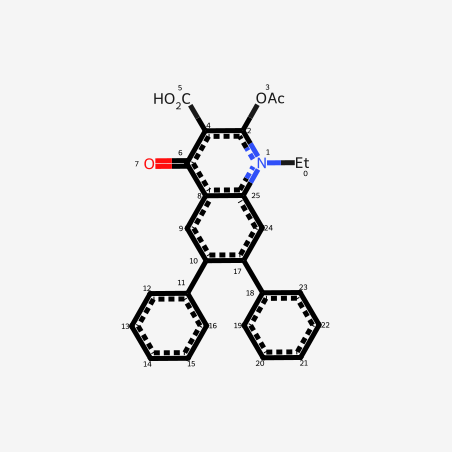 CCn1c(OC(C)=O)c(C(=O)O)c(=O)c2cc(-c3ccccc3)c(-c3ccccc3)cc21